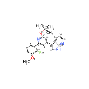 COc1cccc(-c2cc(-c3c[nH]c4ncccc34)cc(OC(C)(C)C)n2)c1F